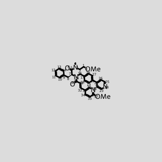 COCCN(C)C(=O)[C@H](Cc1ccccc1)N(Cc1ccc(-c2ccncc2)cc1)C(=O)/C=C/c1ccc(OC)nc1